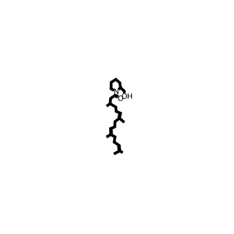 CC(C)=CCCC(C)=CCCC(C)=CCCC(C)CC(=O)N1CCCCC1CO